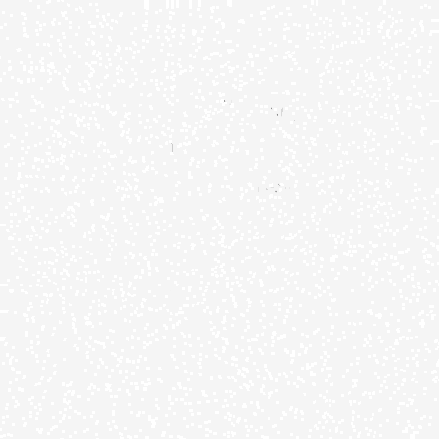 COc1cc(OCc2ccccc2)ccc1-c1cc(N)ncc1F